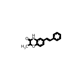 CC1Oc2ccc(C=Cc3ccccc3)cc2NC1=O